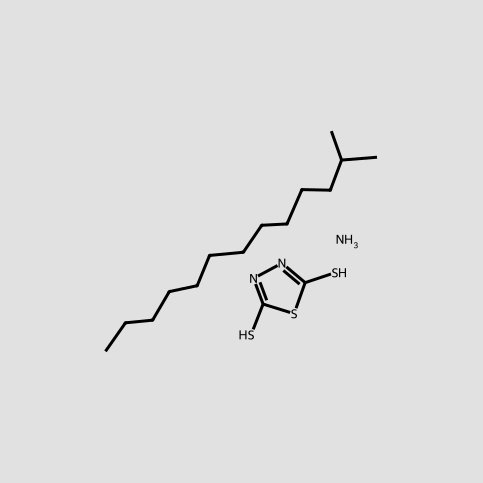 CCCCCCCCCCCC(C)C.N.Sc1nnc(S)s1